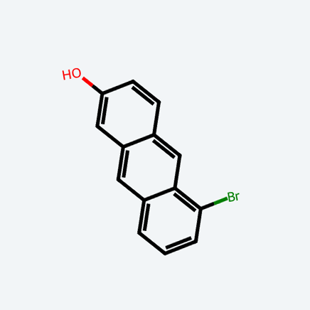 Oc1ccc2cc3c(Br)cccc3cc2c1